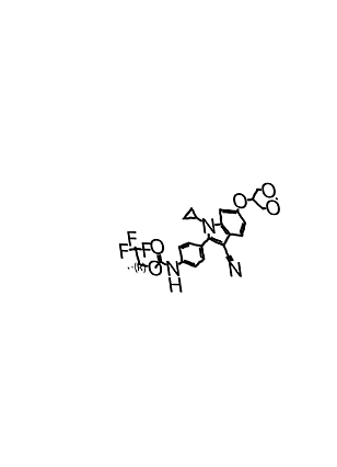 C[C@@H](OC(=O)Nc1ccc(-c2c(C#N)c3ccc(OC4COCOC4)cc3n2C2CC2)cc1)C(F)(F)F